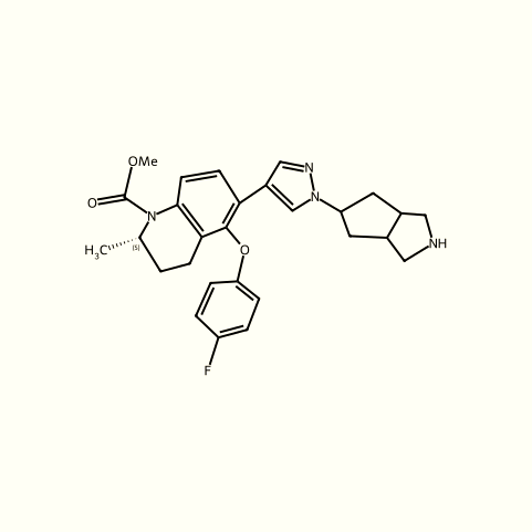 COC(=O)N1c2ccc(-c3cnn(C4CC5CNCC5C4)c3)c(Oc3ccc(F)cc3)c2CC[C@@H]1C